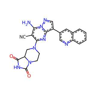 N#Cc1c(N2CCN3C(=O)NC(=O)C3C2)nc2c(-c3cnc4ccccc4c3)cnn2c1N